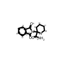 NC(=O)C1(N2C(=O)c3ccccc3C2=O)CCCC[N]1